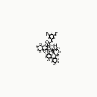 O=C(Cc1cc(F)cc(F)c1)NC(CC1CCCCC1)C(=O)Nc1ccccc1[C@@H]1C(=O)NCCS[C@H]1c1ccccc1